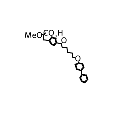 COC(Cc1ccc(C(=O)CCCCCOc2ccc(-c3ccccc3)cc2)cc1)C(=O)O